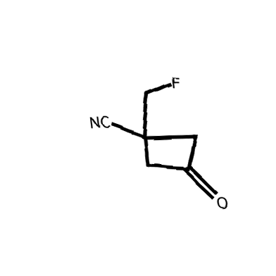 N#CC1(CF)CC(=O)C1